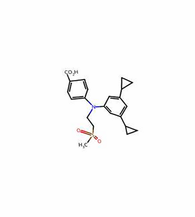 CS(=O)(=O)CCN(c1ccc(C(=O)O)cc1)c1cc(C2CC2)cc(C2CC2)c1